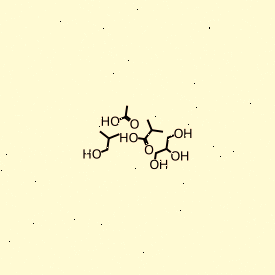 CC(=O)O.CC(C)C(=O)O.CC(C)CO.OCC(O)CO